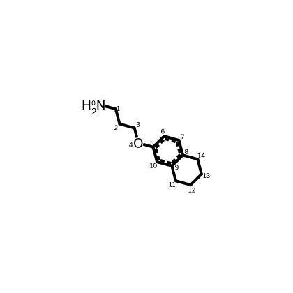 NCCCOc1ccc2c(c1)CCCC2